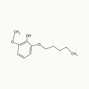 CCCCCOc1cccc(OC)c1O